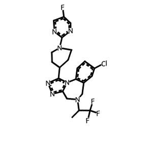 CC(N1Cc2cc(Cl)ccc2-n2c(nnc2C2CCN(c3ncc(F)cn3)CC2)C1)C(F)(F)F